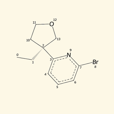 CC[C@]1(c2cccc(Br)n2)CCOC1